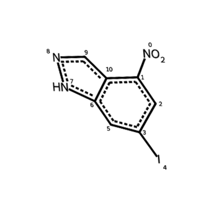 O=[N+]([O-])c1cc(I)cc2[nH]ncc12